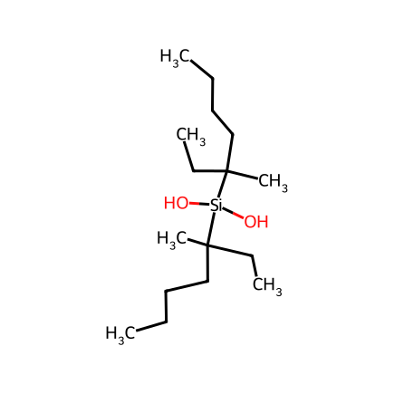 CCCCC(C)(CC)[Si](O)(O)C(C)(CC)CCCC